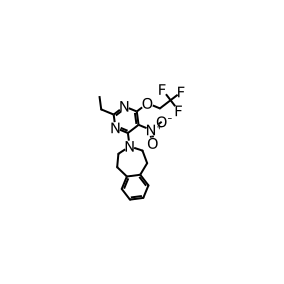 CCc1nc(OCC(F)(F)F)c([N+](=O)[O-])c(N2CCc3ccccc3CC2)n1